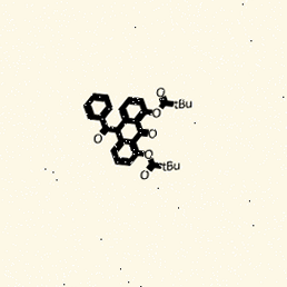 CC(C)(C)C(=O)Oc1cccc2c1C(=O)c1c(OC(=O)C(C)(C)C)cccc1C2C(=O)c1ccccc1